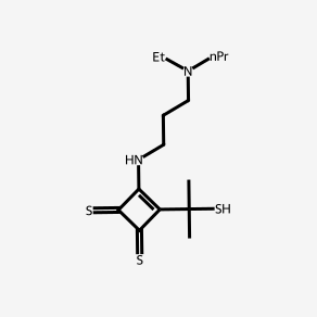 CCCN(CC)CCCNc1c(C(C)(C)S)c(=S)c1=S